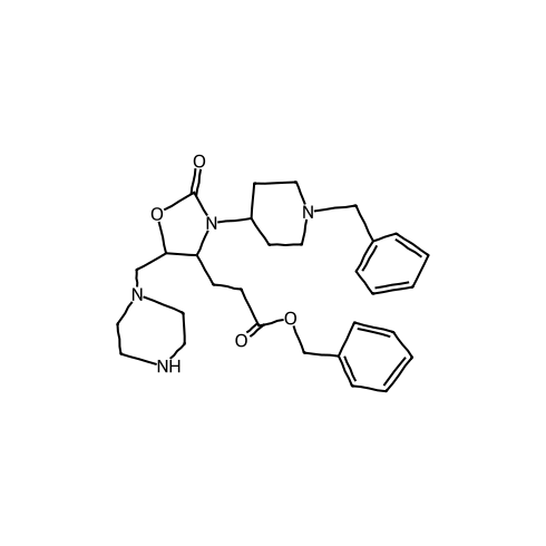 O=C(CCC1C(CN2CCNCC2)OC(=O)N1C1CCN(Cc2ccccc2)CC1)OCc1ccccc1